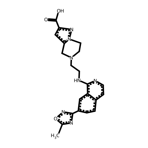 Cc1nc(-c2ccc3ccnc(NCCN4CCn5nc(C(=O)O)cc5C4)c3c2)no1